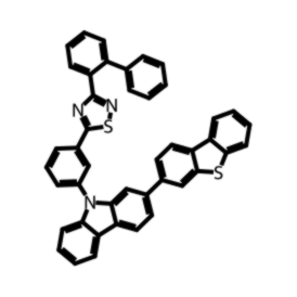 c1ccc(-c2ccccc2-c2nsc(-c3cccc(-n4c5ccccc5c5ccc(-c6ccc7c(c6)sc6ccccc67)cc54)c3)n2)cc1